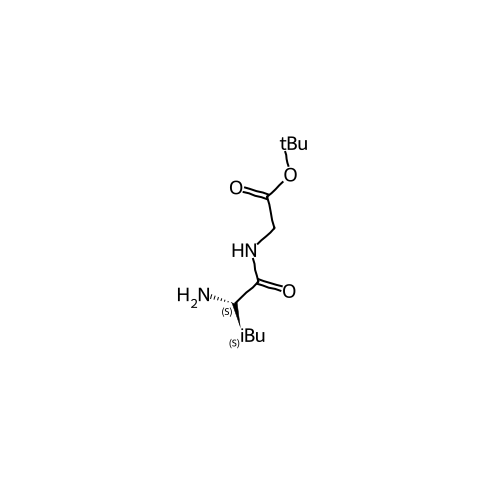 CC[C@H](C)[C@H](N)C(=O)NCC(=O)OC(C)(C)C